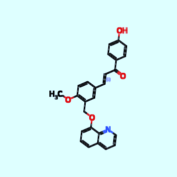 COc1ccc(/C=C/C(=O)c2ccc(O)cc2)cc1COc1cccc2cccnc12